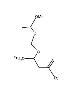 C=C(CC)CC(OCOC(C)OC)C(=O)OCC